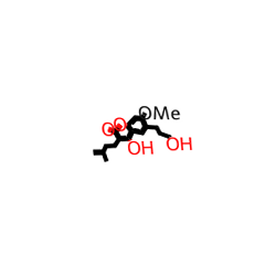 C=C(C)CCc1c(O)c2cc(CCCO)c(OC)cc2oc1=O